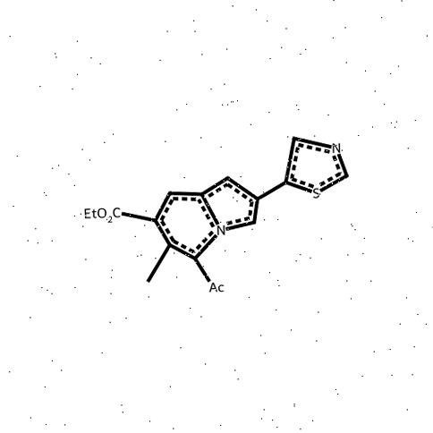 CCOC(=O)c1cc2cc(-c3cncs3)cn2c(C(C)=O)c1C